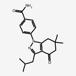 CC(C)Cc1nn(-c2ccc(C(N)=O)cc2)c2c1C(=O)CC(C)(C)C2